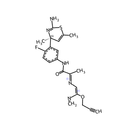 C#CCO/C(=C/N=C(\C)C(=O)Nc1ccc(F)c([C@]2(C)C=C(C)SC(N)=N2)c1)N=C